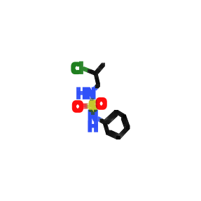 CC(Cl)CNS(=O)(=O)Nc1ccccc1